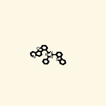 c1ccc(-c2nc(-c3cccc4c3sc3ccccc34)nc(-c3cccc4oc5c6cccnc6ccc5c34)n2)cc1